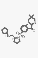 CC1(C)CN=C2C(=O)c3cc(S(=O)(=O)N4CCC[C@H]4CNC4CCCC4)ccc3N2C1